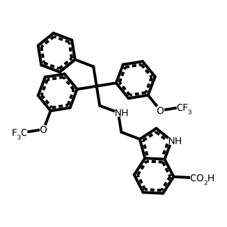 O=C(O)c1cccc2c(CNCC(Cc3ccccc3)(c3cccc(OC(F)(F)F)c3)c3cccc(OC(F)(F)F)c3)c[nH]c12